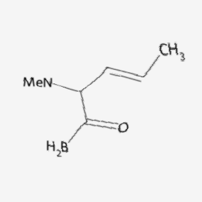 BC(=O)C(/C=C/C)NC